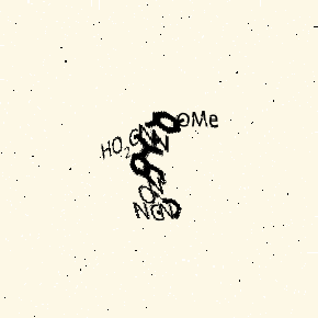 COc1ccc(Cn2ncc(-c3cccc4c3CCN4C(=O)[C@@H]3CCCN3C#N)c2C(=O)O)cc1